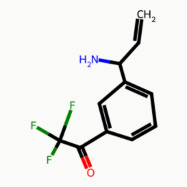 C=CC(N)c1cccc(C(=O)C(F)(F)F)c1